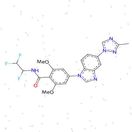 COc1cc(-n2cnc3cc(-n4cnc(C)n4)ccc32)cc(OC)c1C(=O)NC(F)C(F)F